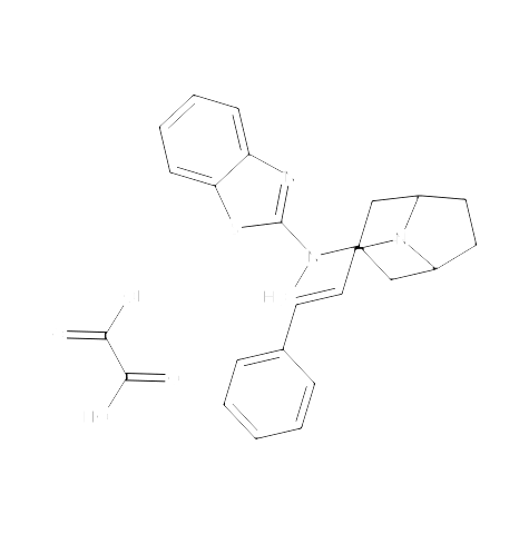 CN(c1nc2ccccc2s1)C1CC2CCC(C1)N2CC=Cc1ccccc1.O=C(O)C(=O)O